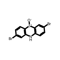 [O-][S+]1c2ccc(Br)cc2Nc2ccc(Br)cc21